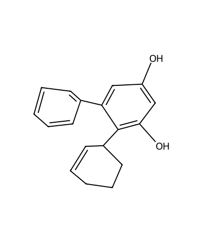 Oc1cc(O)c(C2C=CCCC2)c(-c2ccccc2)c1